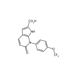 O=C(O)c1cc2ccc(=O)n(-c3ccc(OC(F)(F)F)cc3)c2[nH]1